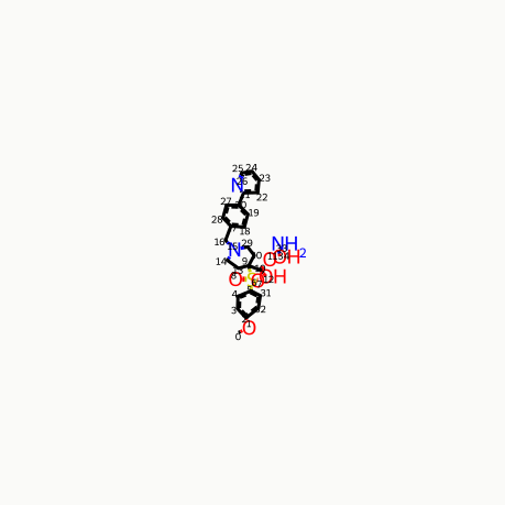 COc1ccc(S(=O)(=O)C2(C(=O)O)CCN(Cc3ccc(-c4ccccn4)cc3)CC2)cc1.NO